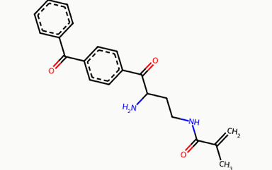 C=C(C)C(=O)NCCC(N)C(=O)c1ccc(C(=O)c2ccccc2)cc1